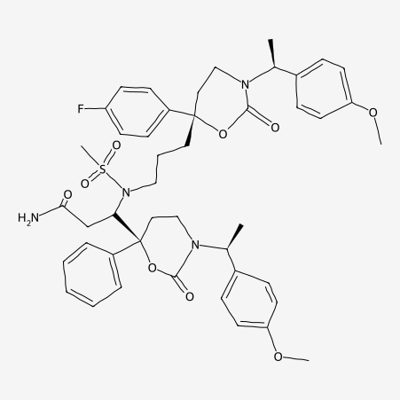 COc1ccc([C@H](C)N2CC[C@@](CCCN(C(CC(N)=O)[C@@]3(c4ccccc4)CCN([C@@H](C)c4ccc(OC)cc4)C(=O)O3)S(C)(=O)=O)(c3ccc(F)cc3)OC2=O)cc1